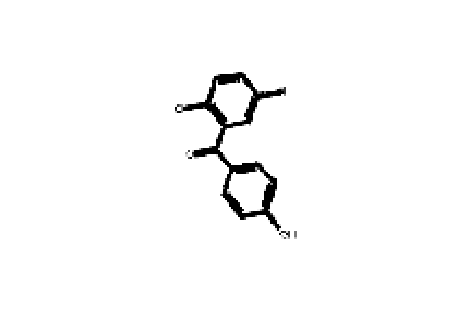 O=C(c1ccc(O)cc1)c1cc(I)ccc1Cl